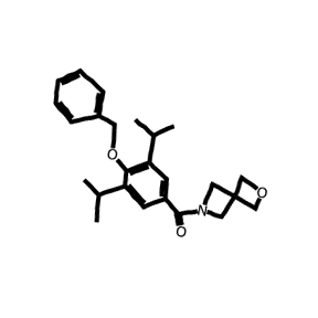 CC(C)c1cc(C(=O)N2CC3(COC3)C2)cc(C(C)C)c1OCc1ccccc1